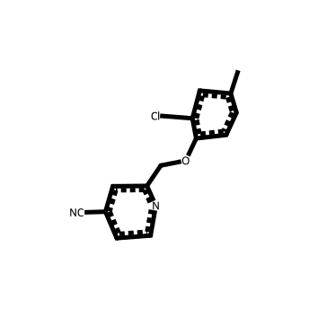 Cc1ccc(OCc2cc(C#N)ccn2)c(Cl)c1